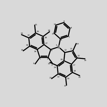 CC1=C(C)C(B(c2ccccc2)C2C(C)=C(C)c3c(C)c(C)c(C)c(C)c32)c2c(C)c(C)c(C)c(C)c21